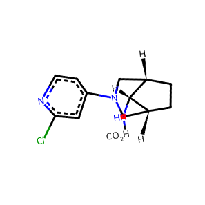 O=C(O)N[C@H]1[C@@H]2CC[C@H]1CN(c1ccnc(Cl)c1)C2